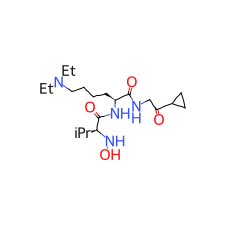 CCN(CC)CCCC[C@H](NC(=O)[C@@H](NO)C(C)C)C(=O)NCC(=O)C1CC1